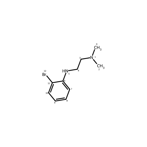 CN(C)CCNc1ccccc1Br